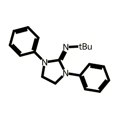 CC(C)(C)N=C1N(c2ccccc2)CCN1c1ccccc1